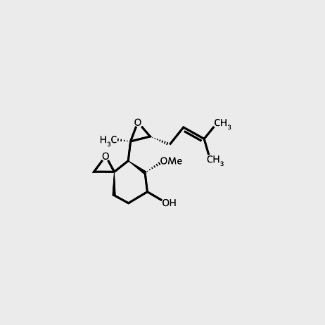 CO[C@@H]1C(O)CC[C@]2(CO2)[C@H]1[C@@]1(C)O[C@@H]1CC=C(C)C